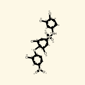 O=[N+]([O-])c1ccc(Oc2c(Cl)cc(S(=O)(=O)Nc3ccc(Cl)c(Cl)c3)cc2Cl)c(Cl)c1